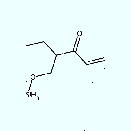 C=CC(=O)C(CC)CO[SiH3]